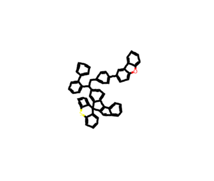 c1ccc(-c2ccccc2C(Cc2ccc(-c3ccc4oc5ccccc5c4c3)cc2)c2ccc3c(c2)C2(c4ccccc4Sc4ccccc42)c2ccc4ccccc4c2-3)cc1